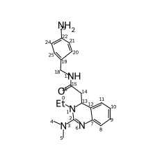 CCN1C(N(C)C)=Nc2ccccc2C1CC(=O)NCc1ccc(N)cc1